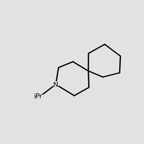 CC(C)N1CCC2(CCCCC2)CC1